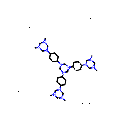 CN1CN(C)CN(C2CCC(N3CN(C4CCC(N5CN(C)CN(C)C5)CC4)CN(C4CCC(N5CN(C)CN(C)C5)CC4)C3)CC2)C1